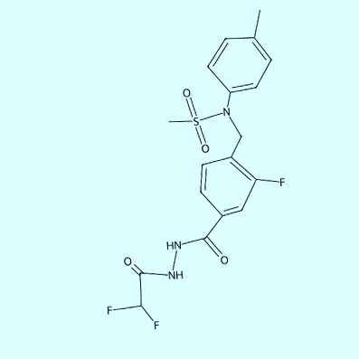 Cc1ccc(N(Cc2ccc(C(=O)NNC(=O)C(F)F)cc2F)S(C)(=O)=O)cc1